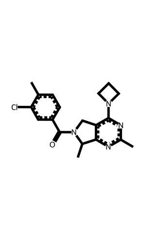 Cc1nc2c(c(N3CCC3)n1)CN(C(=O)c1ccc(C)c(Cl)c1)C2C